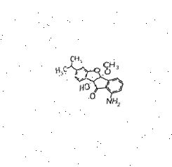 CO[C@@]12Oc3cc(C(C)C)ccc3[C@]1(O)C(=O)c1c(N)cccc12